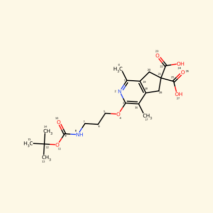 Cc1nc(OCCCNC(=O)OC(C)(C)C)c(C)c2c1CC(C(=O)O)(C(=O)O)C2